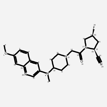 COc1ccc2cc(N(C)C3CCN(CC(=O)N4C[C@@H](F)C[C@H]4C#N)CC3)cnc2c1